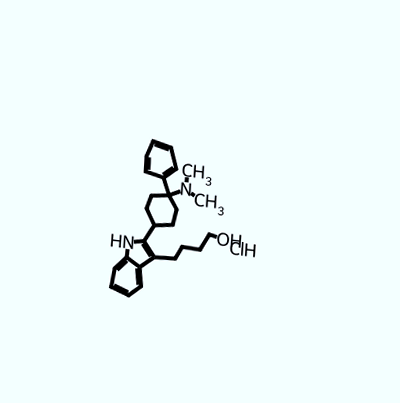 CN(C)C1(c2ccccc2)CCC(c2[nH]c3ccccc3c2CCCCO)CC1.Cl